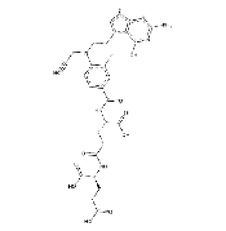 C#CCN(CCc1c[nH]c2nc(N)nc(O)c12)c1ccc(C(=O)N[C@@H](CCC(=O)N[C@@H](CCC(=O)O)C(=O)O)C(=O)O)cc1Cl